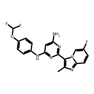 Cc1nc2ccc(F)cn2c1-c1nc(N)cc(Nc2ccc(OC(F)F)cc2)n1